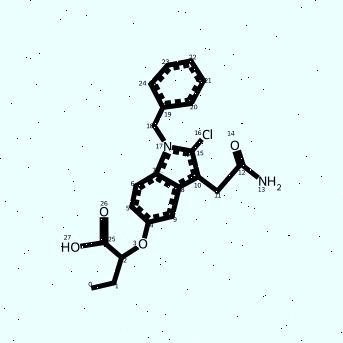 CCC(Oc1ccc2c(c1)c(CC(N)=O)c(Cl)n2Cc1ccccc1)C(=O)O